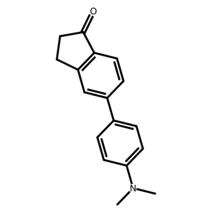 CN(C)c1ccc(-c2ccc3c(c2)CCC3=O)cc1